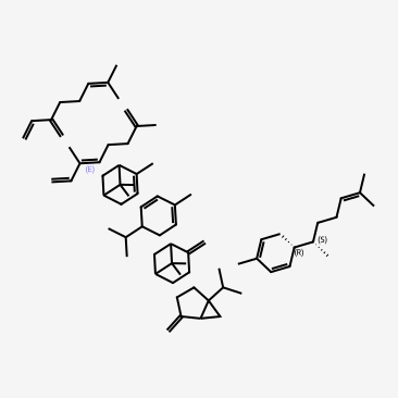 C=C/C(C)=C/CCC(=C)C.C=C1CCC2(C(C)C)CC12.C=C1CCC2CC1C2(C)C.C=CC(=C)CCC=C(C)C.CC(C)=CCC[C@H](C)[C@@H]1C=CC(C)=CC1.CC1=CCC(C(C)C)C=C1.CC1=CCC2CC1C2(C)C